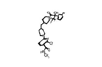 CNC(=O)c1ccc(N2CCC(CC3CCN(C(=O)C(O)(c4cccc(Br)c4)C(F)(F)F)CC3)CC2)nc1Cl